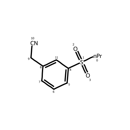 CCCS(=O)(=O)c1cccc(CC#N)c1